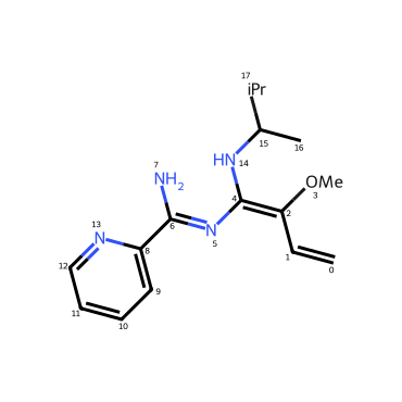 C=C/C(OC)=C(\N=C(/N)c1ccccn1)NC(C)C(C)C